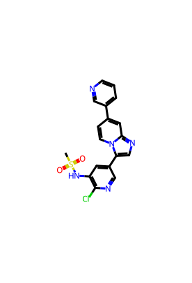 CS(=O)(=O)Nc1cc(-c2cnc3cc(-c4cccnc4)ccn23)cnc1Cl